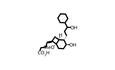 CO[C@@]12CC[C@H](O)[C@@H](CCC(O)C3CCCCC3)[C@@H]1C/C2=C/CCC(=O)O